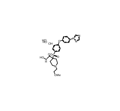 COCCN1CCC(C(=O)NO)(S(=O)(=O)c2ccc(Oc3ccc(-n4cncn4)cc3)cc2)CC1.Cl.Cl.Cl